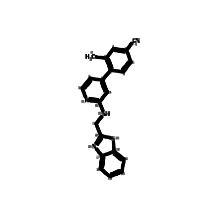 Cc1cc(C#N)ccc1-c1ccnc(NCc2nc3ccccc3s2)c1